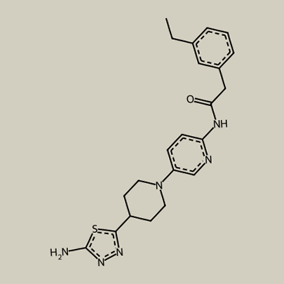 CCc1cccc(CC(=O)Nc2ccc(N3CCC(c4nnc(N)s4)CC3)cn2)c1